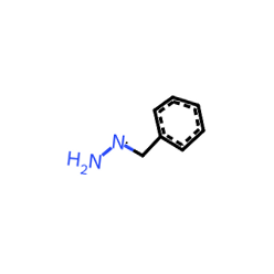 N[N]Cc1ccccc1